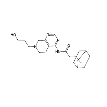 O=C(CC12CC3CC(CC(C3)C1)C2)Nc1ncnc2c1CCN(CCCO)C2